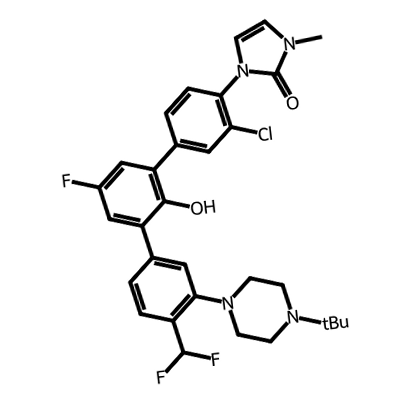 Cn1ccn(-c2ccc(-c3cc(F)cc(-c4ccc(C(F)F)c(N5CCN(C(C)(C)C)CC5)c4)c3O)cc2Cl)c1=O